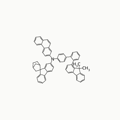 CC1(C)c2ccccc2-c2cccc(-c3ccccc3-c3ccc(N(c4ccc5c(c4)C4(CC6CCC4C6)c4ccccc4-5)c4ccc5c(ccc6ccccc65)c4)cc3)c21